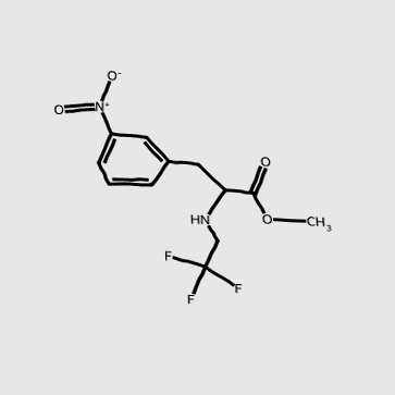 COC(=O)C(Cc1cccc([N+](=O)[O-])c1)NCC(F)(F)F